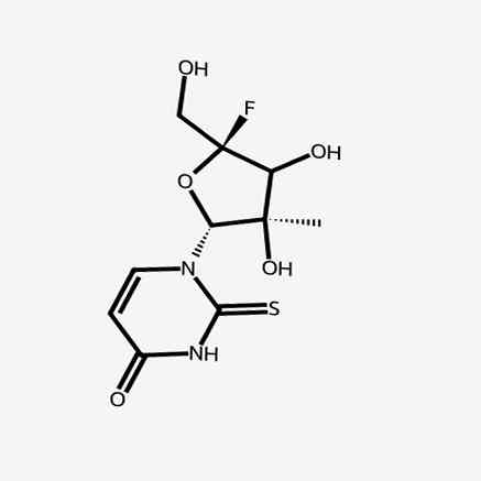 C[C@@]1(O)C(O)[C@@](F)(CO)O[C@H]1n1ccc(=O)[nH]c1=S